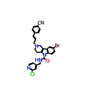 N#Cc1ccc(C=CCN2CCc3c(c4cc(Br)ccc4n3C(=O)NCc3ccnc(Cl)c3)C2)cc1